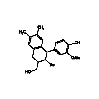 COc1cc(C2c3cc(C)c(C)cc3CC(CO)C2C(C)=O)ccc1O